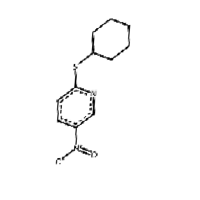 O=[N+]([O-])c1ccc(SC2CCCCC2)nc1